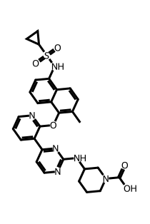 Cc1ccc2c(NS(=O)(=O)C3CC3)cccc2c1Oc1ncccc1-c1ccnc(NC2CCCN(C(=O)O)C2)n1